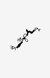 C=C(CCC(C)C)COC(=O)NCC#CC(C)C